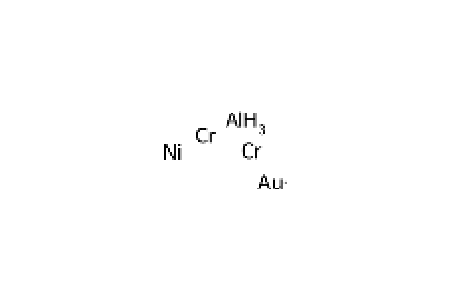 [AlH3].[Au].[Cr].[Cr].[Ni]